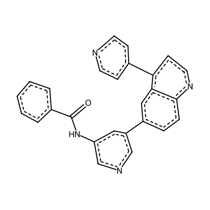 O=C(Nc1cncc(-c2ccc3nccc(-c4ccncc4)c3c2)c1)c1ccccc1